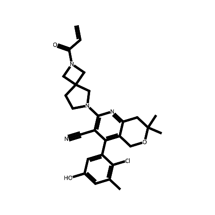 C=CC(=O)N1CC2(CCN(c3nc4c(c(-c5cc(O)cc(C)c5Cl)c3C#N)COC(C)(C)C4)C2)C1